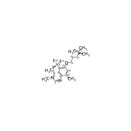 CCN(C)/C=N\c1cc(C(F)(F)F)c(OCCC[Si](C)(C)C)cc1C